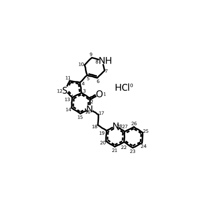 Cl.O=c1c2c(C3=CCNCC3)csc2ccn1CCc1ccc2ccccc2n1